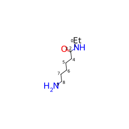 CCNC(=O)CCCCCN